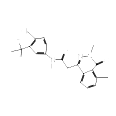 Cc1cccc2c(CC(=O)Nc3ccc(Cl)c(C(F)(F)F)c3)nn(C)c(=O)c12